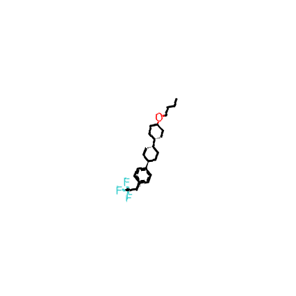 CCCCO[C@H]1CC[C@H]([C@H]2CC[C@H](c3ccc(CC(F)(F)F)cc3)CC2)CC1